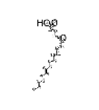 CCCCC/C=C/C/C=C/C/C=C/CC1OC1CCCC(=O)O